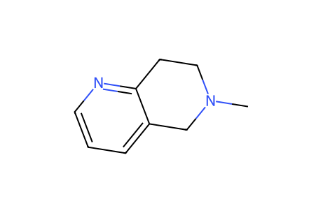 CN1CCc2ncccc2C1